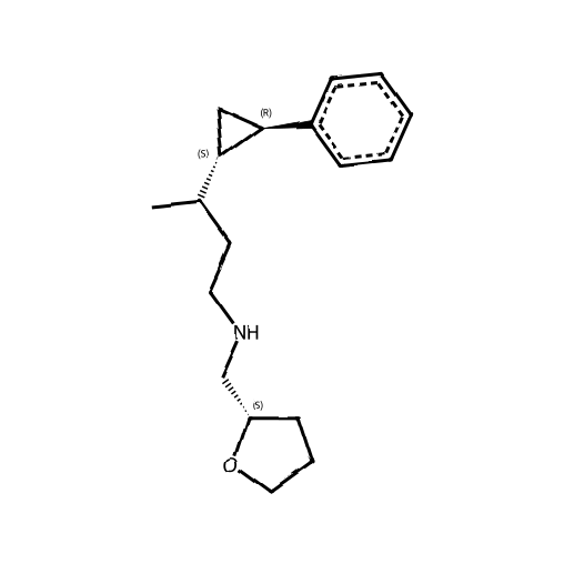 CC(CCNC[C@@H]1CCCO1)[C@@H]1C[C@H]1c1ccccc1